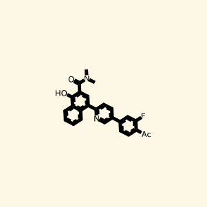 CC(=O)c1ccc(-c2ccc(-c3cc(C(=O)N(C)C)c(O)c4ccccc34)nc2)cc1F